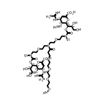 CCCOCCOCCOCCOCCC(=O)N(CCOCCN(CC)C(=O)O[C@@H]([C@@H]1OC(C(=O)O)=C[C@H](NC(=N)N)[C@H]1NC(C)=O)[C@H](O)CO)CCOCCN(CC)C(=O)O[C@@H]([C@@H]1OC(C(=O)O)=C[C@H](NC(=N)N)[C@H]1NC(C)=O)[C@H](O)CO